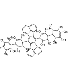 OC1=C(O)C(O)C(c2c(O)c(O)c(-c3c4c5cccc6cccc(c4c(-c4c(O)c(O)c(-c7c(O)c(O)c(O)c(O)c7O)c(O)c4O)c4c7cccc8cccc(c34)c87)c65)c(O)c2O)C(O)=C1O